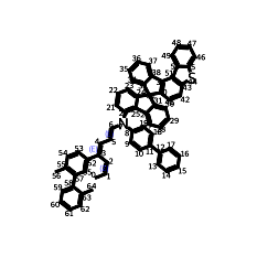 C\C=C/C(=C\C=C\N(c1ccc(-c2ccccc2)cc1)c1cccc2c1-c1ccccc1C21c2ccccc2-c2c1ccc1sc3ccccc3c21)c1ccc(C)c(-c2ccccc2C)c1